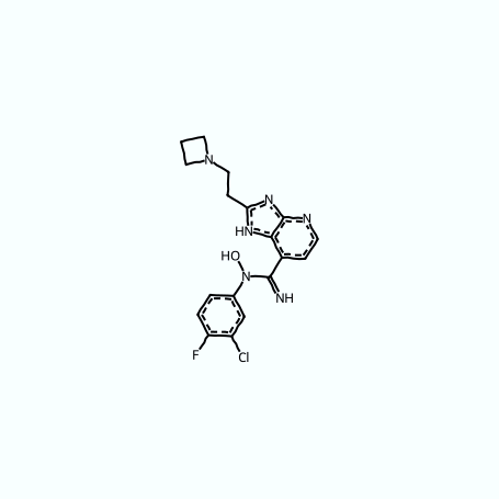 N=C(c1ccnc2nc(CCN3CCC3)[nH]c12)N(O)c1ccc(F)c(Cl)c1